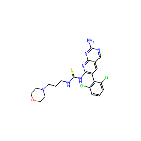 Nc1ncc2cc(-c3c(Cl)cccc3Cl)c(NC(=S)NCCCN3CCOCC3)nc2n1